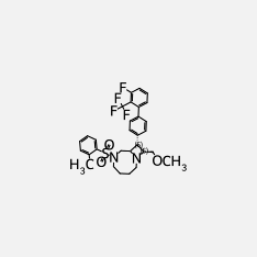 COC[C@@H]1[C@@H](c2ccc(-c3cccc(F)c3C(F)(F)F)cc2)C2CN(S(=O)(=O)c3ccccc3C)CCCCN21